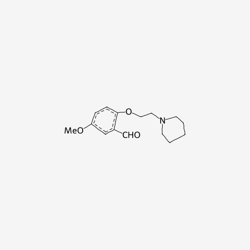 COc1ccc(OCCN2CCCCC2)c(C=O)c1